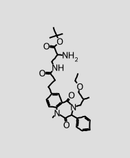 CCOCC(C)CN1C(=O)c2cc(CCC(=O)NCC(N)C(=O)OC(C)(C)C)ccc2N(C)C(=O)C1c1ccccc1